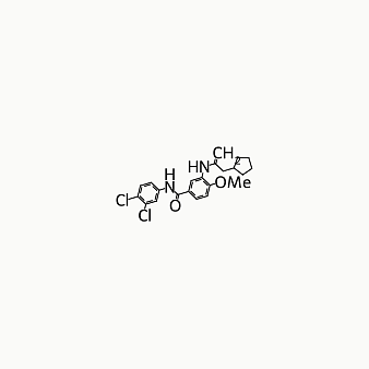 C=C(CC1CCCC1)Nc1cc(C(=O)Nc2ccc(Cl)c(Cl)c2)ccc1OC